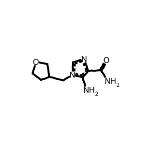 NC(=O)c1ncn(CC2CCOC2)c1N